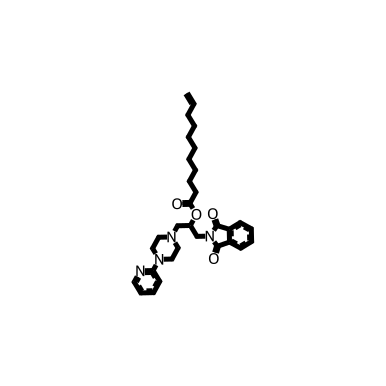 C=CCCCCCCCCC(=O)OC(CN1CCN(c2ccccn2)CC1)CN1C(=O)c2ccccc2C1=O